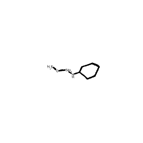 [SiH3]O[SiH2]NC1CCCCC1